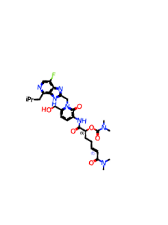 CC(C)Cc1ncc(F)c2nc(Cn3c(CO)ccc(NC(=O)[C@H](CC/C=C/C(=O)N(C)C)OC(=O)N(C)C)c3=O)[nH]c12